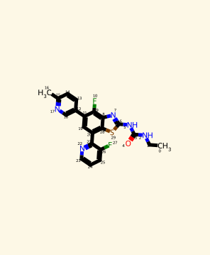 CCNC(=O)Nc1nc2c(F)c(-c3ccc(C)nc3)cc(-c3ncccc3F)c2s1